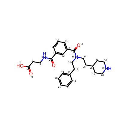 O=C(O)CCNC(=O)c1cccc(C(=O)N(CCc2ccccc2)CCC2CCNCC2)c1